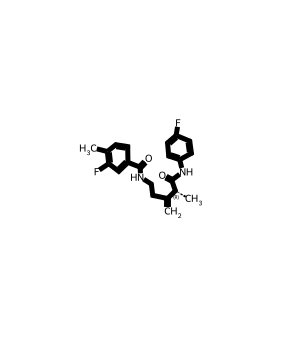 C=C(CCNC(=O)c1ccc(C)c(F)c1)[C@@H](C)C(=O)Nc1ccc(F)cc1